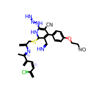 C=C(Cl)/C=C\C(=C)/C(C)=N/C(=C)CSC1NC(NN=N)=C(C#N)C(c2ccc(OCCN=O)cc2)=C1C=N